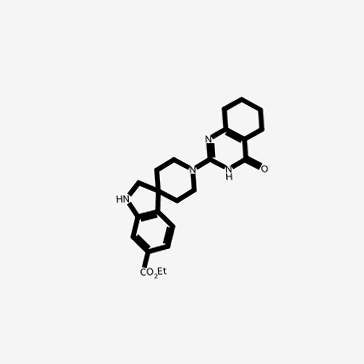 CCOC(=O)c1ccc2c(c1)NCC21CCN(c2nc3c(c(=O)[nH]2)CCCC3)CC1